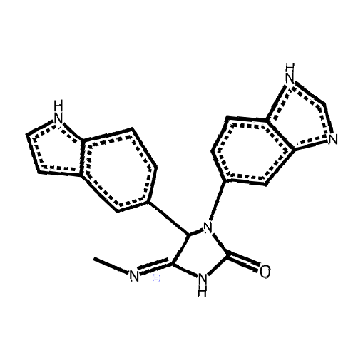 C/N=C1/NC(=O)N(c2ccc3[nH]cnc3c2)C1c1ccc2[nH]ccc2c1